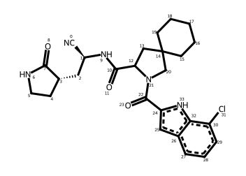 N#C[C@H](C[C@@H]1CCNC1=O)NC(=O)C1CC2(CCCCC2)CN1C(=O)c1cc2cccc(Cl)c2[nH]1